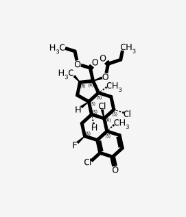 CCOC(=O)[C@@]1(OC(=O)CC)[C@H](C)C[C@H]2[C@@H]3C[C@H](F)C4=C(Cl)C(=O)C=C[C@]4(C)[C@@]3(Cl)[C@@H](Cl)C[C@@]21C